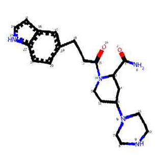 NC(=O)C1CC(N2CCNCC2)CCN1C(=O)[CH]Cc1ccc2[nH]ccc2c1